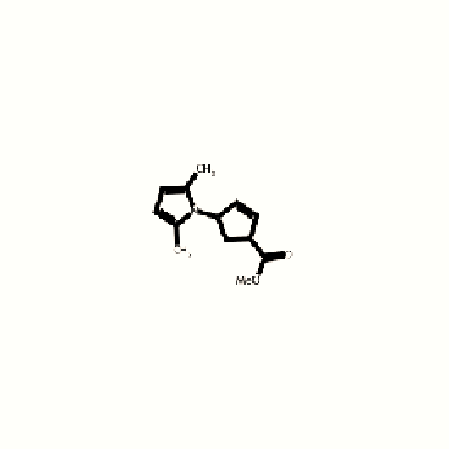 COC(=O)C1C=CC(n2c(C)ccc2C)C1